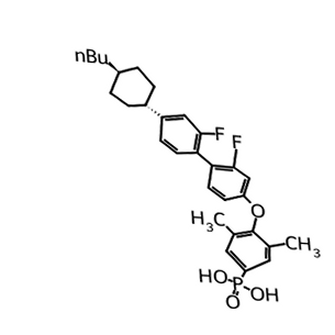 CCCC[C@H]1CC[C@H](c2ccc(-c3ccc(Oc4c(C)cc(P(=O)(O)O)cc4C)cc3F)c(F)c2)CC1